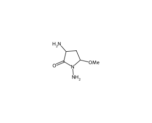 COC1CC(N)C(=O)N1N